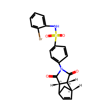 O=C1[C@@H]2[C@@H]3C=CC(C3)[C@@H]2C(=O)N1c1ccc(S(=O)(=O)Nc2ccccc2Br)cc1